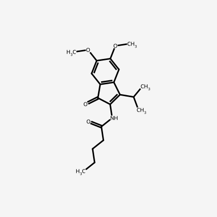 CCCCC(=O)NC1=C(C(C)C)c2cc(OC)c(OC)cc2C1=O